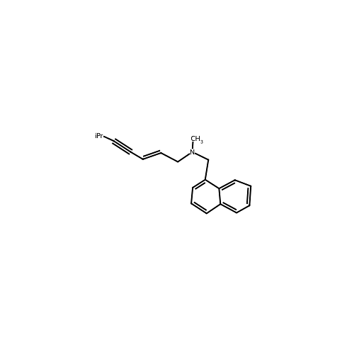 CC(C)C#C/C=C/CN(C)Cc1cccc2ccccc12